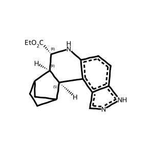 CCOC(=O)[C@@H]1Nc2ccc3[nH]ncc3c2[C@H]2C3CCC(C3)[C@@H]12